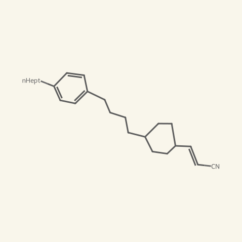 CCCCCCCc1ccc(CCCCC2CCC(C=CC#N)CC2)cc1